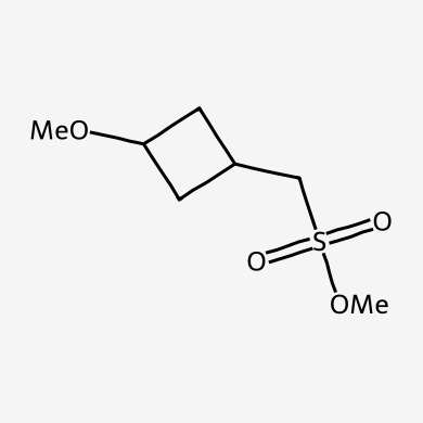 COC1CC(CS(=O)(=O)OC)C1